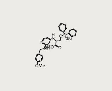 COC(=O)C(CO[Si](c1ccccc1)(c1ccccc1)C(C)(C)C)Nc1ccnc(NCc2ccc(OC)cc2)n1